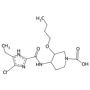 CCCCOC1CN(C(=O)O)CCC1NC(=O)c1nc(Cl)c(CC)[nH]1